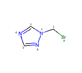 BrCn1cncn1